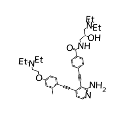 CCN(CC)CCOc1ccc(C#Cc2ccnc(N)c2C#Cc2ccc(C(=O)NCC(O)CN(CC)CC)cc2)c(C)c1